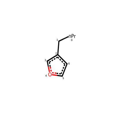 CCCCc1[c]occ1